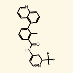 Cc1c(C(=O)NC2=CC=NC(C(F)(F)F)C2)cccc1-c1cccc2ncccc12